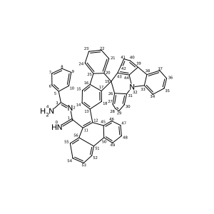 N=C(/N=C(\N)c1ccccc1)c1c(-c2ccc3c(c2)C2(c4ccccc4-3)c3ccccc3-n3c4ccccc4c4cccc2c43)c2ccccc2c2ccccc12